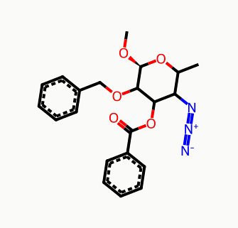 CO[C@H]1OC(C)C(N=[N+]=[N-])C(OC(=O)c2ccccc2)C1OCc1ccccc1